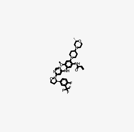 C=CC(=O)Nc1cc(Nc2cc(N3OCC[C@@H]3c3ccc(F)c(C(F)(F)F)c3)ncn2)c(OC)cc1N1CCC(N2CCO[C@@H](C)C2)CC1